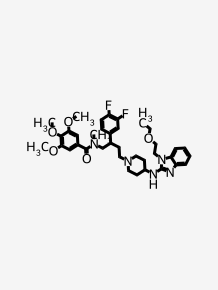 CCOCCn1c(NC2CCN(CCC(CN(C)C(=O)c3cc(OC)c(OC)c(OC)c3)c3ccc(F)c(F)c3)CC2)nc2ccccc21